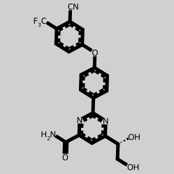 N#Cc1cc(Oc2ccc(-c3nc(C(N)=O)cc([C@H](O)CO)n3)cc2)ccc1C(F)(F)F